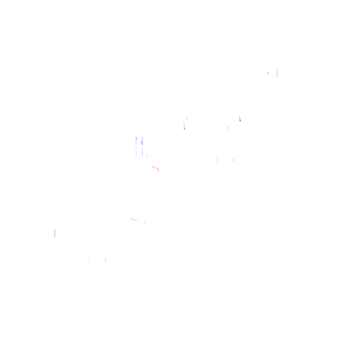 CCCCCCC(CCCC)C(=O)OCCCCC(=O)OCC(CNCCCO)COC(=O)CCCCOC(=O)C(CCCC)CCCCCC